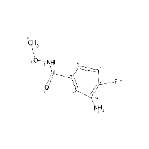 CONC(=O)c1ccc(F)c(N)c1